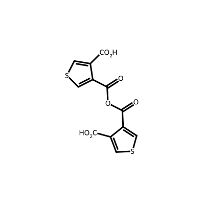 O=C(O)c1cscc1C(=O)OC(=O)c1cscc1C(=O)O